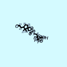 CC1(CS(=O)(=O)OCCC(F)(F)C(F)(F)S(=O)(=O)O)CCC(CC=O)C1(C)C